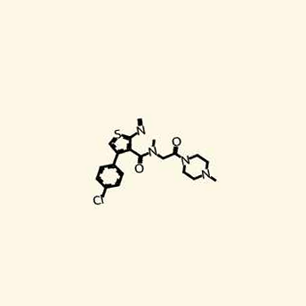 C=Nc1scc(-c2ccc(Cl)cc2)c1C(=O)N(C)CC(=O)N1CCN(C)CC1